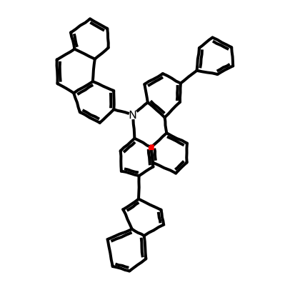 C1=CCC2C(=C1)C=Cc1ccc(N(c3ccc(-c4ccc5ccccc5c4)cc3)c3ccc(-c4ccccc4)cc3-c3ccccc3)cc12